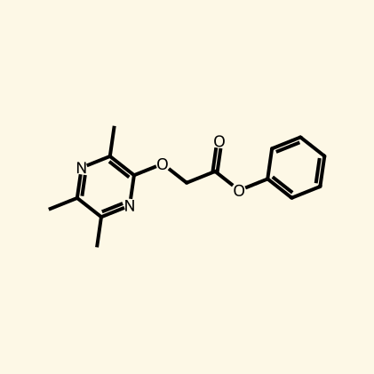 Cc1nc(C)c(OCC(=O)Oc2ccccc2)nc1C